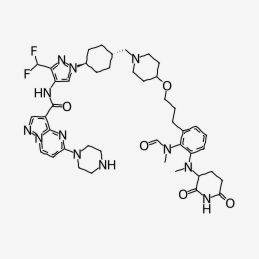 CN(C=O)c1c(CCCOC2CCN(C[C@H]3CC[C@H](n4cc(NC(=O)c5cnn6ccc(N7CCNCC7)nc56)c(C(F)F)n4)CC3)CC2)cccc1N(C)C1CCC(=O)NC1=O